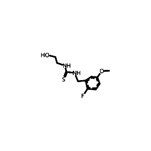 COc1ccc(F)c(CNC(=S)NCCO)c1